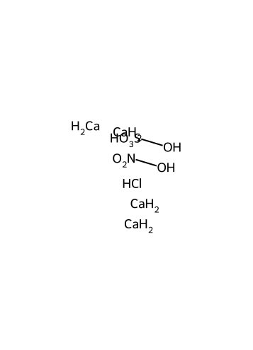 Cl.O=S(=O)(O)O.O=[N+]([O-])O.[CaH2].[CaH2].[CaH2].[CaH2]